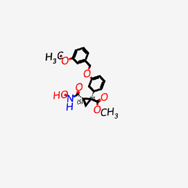 COC(=O)[C@@]1(C2C=CC=C(OCc3cccc(OC)c3)C2)C[C@@H]1C(=O)NO